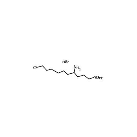 Br.CCCCCCCCCCCC(N)CCCCCCCl